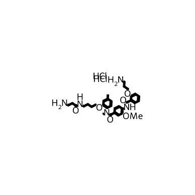 COc1cc(C(=O)N(C)c2ccc(C)cc2OCCCCNC(=O)CCN)ccc1NC(=O)c1ccccc1OCCCN.Cl.Cl